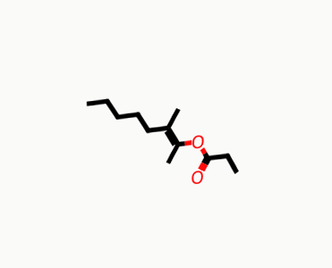 CCCCC/C(C)=C(\C)OC(=O)CC